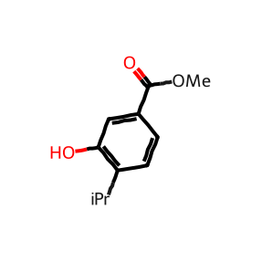 COC(=O)c1ccc(C(C)C)c(O)c1